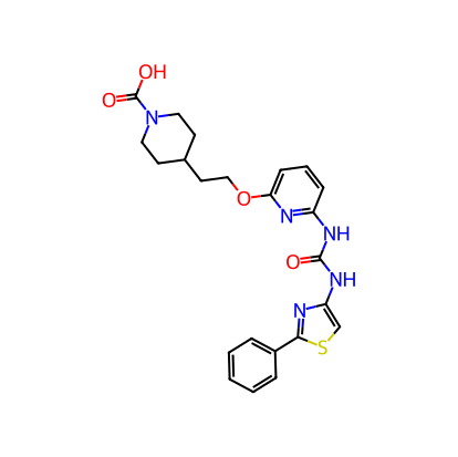 O=C(Nc1cccc(OCCC2CCN(C(=O)O)CC2)n1)Nc1csc(-c2ccccc2)n1